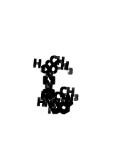 CC(C)n1ncc2c1-c1nc(Nc3ccc(N4CCN(C(=O)OC(C)(C)C)CC4)cn3)ncc1CC2